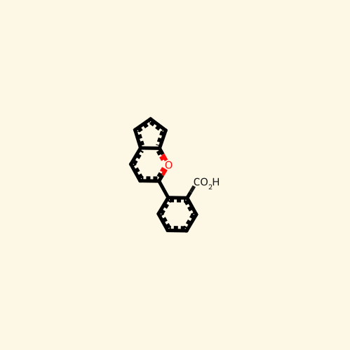 O=C(O)c1ccccc1-c1ccc2cccc-2o1